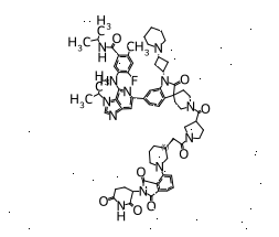 Cc1cc(F)c(Nc2nc(-c3ccc4c(c3)N([C@H]3C[C@@H](N5CCCCC5)C3)C(=O)C43CCN(C(=O)C4CCN(C(=O)C[C@@H]5CCCN(c6cccc7c6C(=O)N(C6CCC(=O)NC6=O)C7=O)C5)C4)CC3)cc3ncn(C(C)C)c23)cc1C(=O)NC(C)C